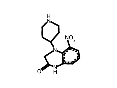 O=C1CN(C2CCNCC2)c2c(cccc2[N+](=O)[O-])N1